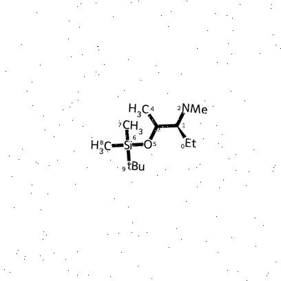 CC[C@H](NC)C(C)O[Si](C)(C)C(C)(C)C